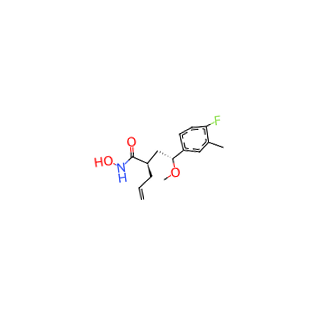 C=CC[C@H](C[C@@H](OC)c1ccc(F)c(C)c1)C(=O)NO